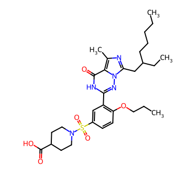 CCCCCC(CC)Cc1nc(C)c2c(=O)[nH]c(-c3cc(S(=O)(=O)N4CCC(C(=O)O)CC4)ccc3OCCC)nn12